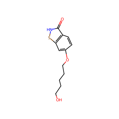 O=c1[nH]sc2cc(OCCCCCO)ccc12